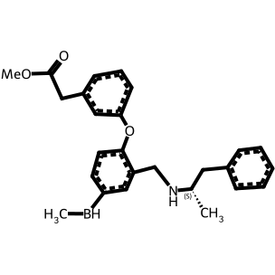 CBc1ccc(Oc2cccc(CC(=O)OC)c2)c(CN[C@@H](C)Cc2ccccc2)c1